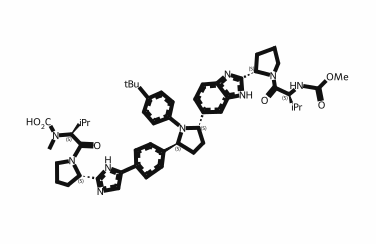 COC(=O)N[C@H](C(=O)N1CCC[C@H]1c1nc2ccc([C@@H]3CC[C@@H](c4ccc(-c5cnc([C@@H]6CCCN6C(=O)[C@H](C(C)C)N(C)C(=O)O)[nH]5)cc4)N3c3ccc(C(C)(C)C)cc3)cc2[nH]1)C(C)C